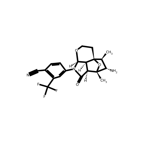 C[C@H]1[C@H](N)[C@@]2(C)O[C@@]13CCO[C@H]1[C@@H]3[C@@H]2C(=O)N1c1ccc(C#N)c(C(F)(F)F)c1